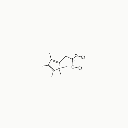 CC[O][Ti]([CH2]C1=C(C)C(C)=C(C)C1(C)C)[O]CC